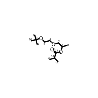 CC(COCCOC(C)(C)C)OC(=O)C(C)C